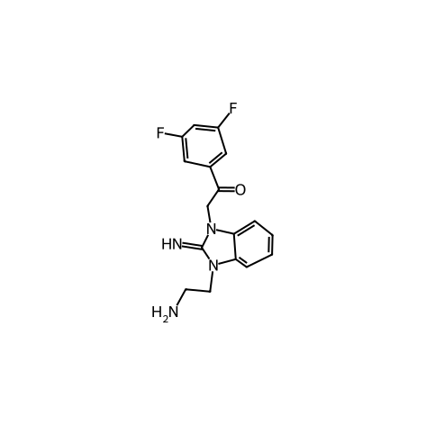 N=c1n(CCN)c2ccccc2n1CC(=O)c1cc(F)cc(F)c1